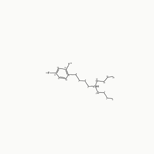 CCCO[SiH](CCCCc1ccc(F)cc1F)OCCC